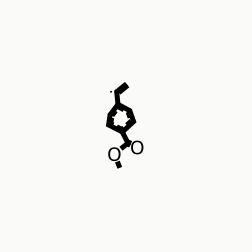 C=[C]c1ccc(C(=O)OC)cc1